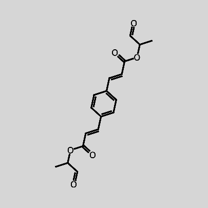 CC(C=O)OC(=O)C=Cc1ccc(C=CC(=O)OC(C)C=O)cc1